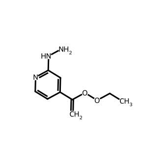 C=C(OOCC)c1ccnc(NN)c1